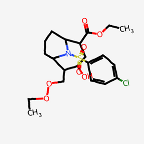 CCOOCC1C(O)CC(C(=O)OCC)C2CCCC1N2S(=O)(=O)c1ccc(Cl)cc1